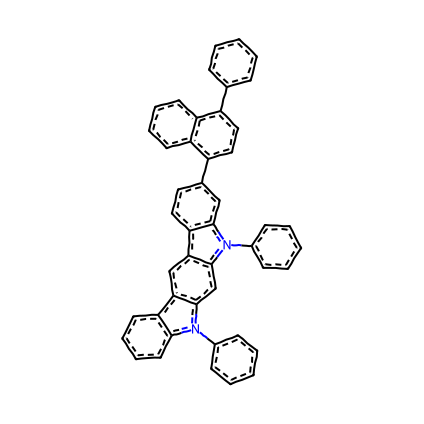 c1ccc(-c2ccc(-c3ccc4c5cc6c7ccccc7n(-c7ccccc7)c6cc5n(-c5ccccc5)c4c3)c3ccccc23)cc1